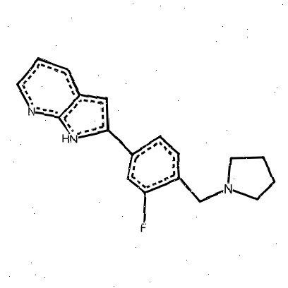 Fc1cc(-c2cc3cccnc3[nH]2)ccc1CN1CCCC1